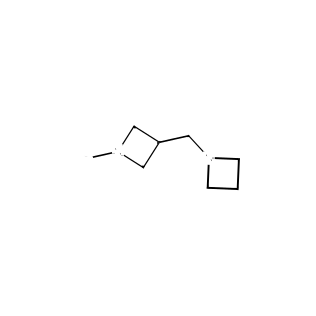 CC(C)N1CC(CN2CCC2)C1